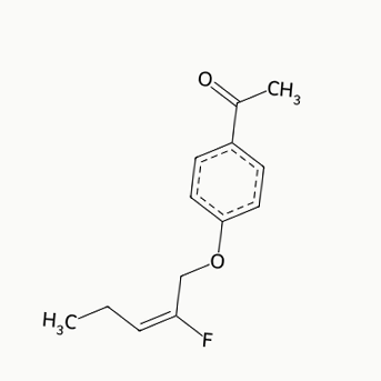 CC/C=C(/F)COc1ccc(C(C)=O)cc1